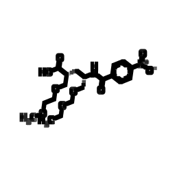 CCOCOC[C@H](C[C@H](COCCOC)C(=O)O)NC(=O)c1ccc([N+](=O)[O-])cc1